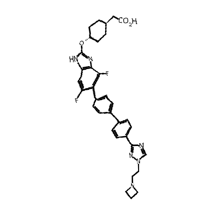 O=C(O)C[C@H]1CC[C@H](Oc2nc3c(F)c(-c4ccc(-c5ccc(-c6ncn(CCN7CCC7)n6)cc5)cc4)c(F)cc3[nH]2)CC1